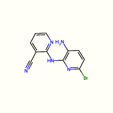 N#Cc1cccnc1Nc1nc(Br)ccc1N